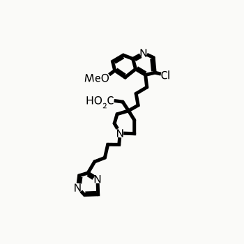 COc1ccc2ncc(Cl)c(CCCC3(CC(=O)O)CCN(CCCCc4cnccn4)CC3)c2c1